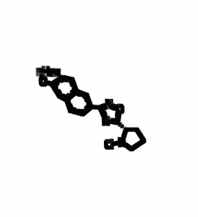 CCCCCCOc1ccc2cc(-c3noc([C@@H]4CCCN4Cl)n3)ccc2c1